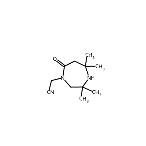 CC1(C)CC(=O)N(CC#N)CC(C)(C)N1